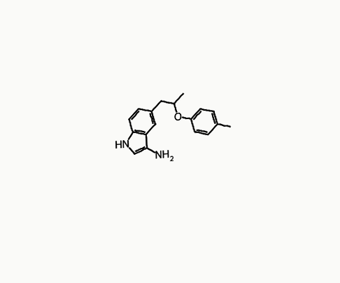 Cc1ccc(OC(C)Cc2ccc3[nH]cc(N)c3c2)cc1